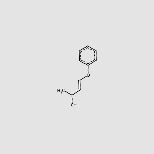 CC(C)C=COc1c[c]ccc1